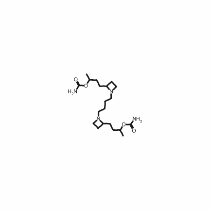 CC(CCC1CCN1CCCCN1CCC1CCC(C)OC(N)=O)OC(N)=O